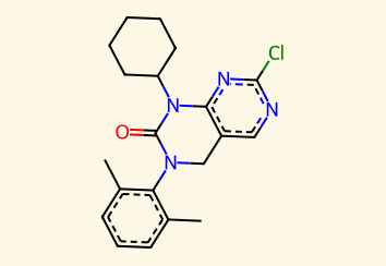 Cc1cccc(C)c1N1Cc2cnc(Cl)nc2N(C2CCCCC2)C1=O